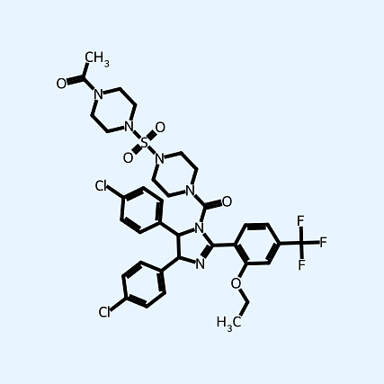 CCOc1cc(C(F)(F)F)ccc1C1=NC(c2ccc(Cl)cc2)C(c2ccc(Cl)cc2)N1C(=O)N1CCN(S(=O)(=O)N2CCN(C(C)=O)CC2)CC1